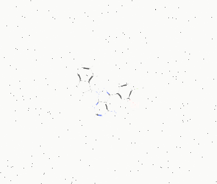 Nc1ncnc2c1c(-c1cc(O)c(F)c(F)c1)nn2C1CCc2ccccc21